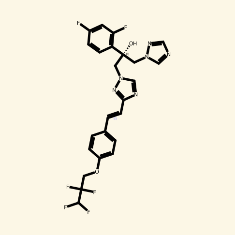 O[C@](Cn1cncn1)(Cn1cnc(/C=C/c2ccc(OCC(F)(F)C(F)F)cc2)n1)c1ccc(F)cc1F